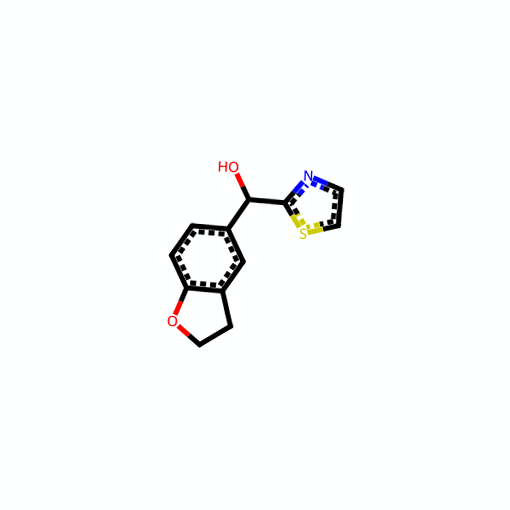 OC(c1ccc2c(c1)CCO2)c1nccs1